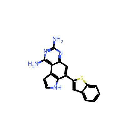 Nc1nc(N)c2c(cc(-c3cc4ccccc4s3)c3[nH]ccc32)n1